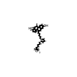 C[C@]1(O)CCC2[C@@H]3C(CCCCCN4CCC[C@H]4CCCCCC(F)(F)C(F)(F)F)Cc4cc(O)ccc4C3[C@@H](F)C[C@@]21C